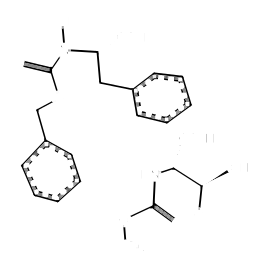 CN(C(=O)OCc1ccccc1)[C@@H](Cc1ccccc1)C(=O)O.C[C@@H](O)[C@H](NC(=O)OC(C)(C)C)C(=O)O